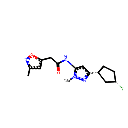 Cc1cc(CC(=O)Nc2cc([C@@H]3C[CH][C@H](F)C3)nn2C(C)(C)C)on1